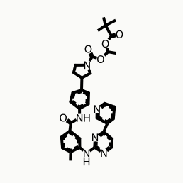 Cc1ccc(C(=O)Nc2ccc(C3CCN(C(=O)OC(C)OC(=O)C(C)(C)C)C3)cc2)cc1Nc1nccc(-c2cccnc2)n1